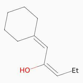 CC/C=C(/O)C=C1CCCCC1